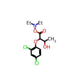 CCN(CC)OC(=O)C(Oc1ccc(Cl)cc1Cl)C(C)O